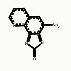 Nc1cc2cccnc2c2c1=NC(=O)N=2